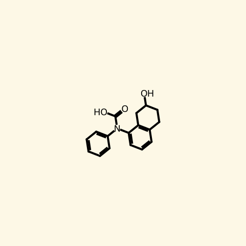 O=C(O)N(c1ccccc1)c1cccc2c1CC(O)CC2